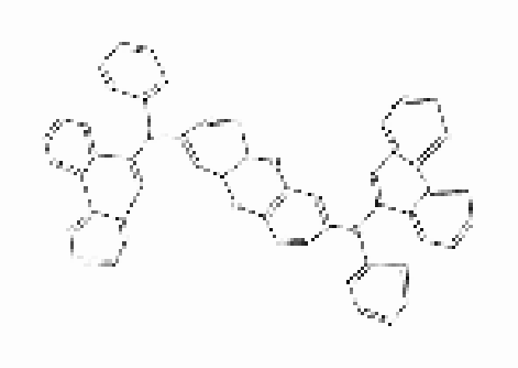 C1=CC2Oc3cc(N(c4ccccc4)c4cc5ccccc5c5ccccc45)ccc3OC2C=C1N(c1ccccc1)c1cc2ccccc2c2ccccc12